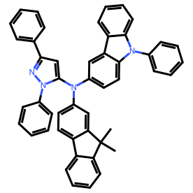 CC1(C)c2ccccc2-c2ccc(N(c3ccc4c(c3)c3ccccc3n4-c3ccccc3)c3cc(-c4ccccc4)nn3-c3ccccc3)cc21